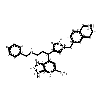 Nc1cc(C(CCOCc2ccccc2)c2cnn(Cc3ccc4c(c3)CCNC4)c2)c2nn[nH]c2n1